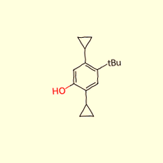 CC(C)(C)c1cc(C2CC2)c(O)cc1C1CC1